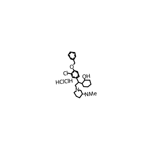 CN[C@H]1CCCN(CC(c2ccc(OCc3ccccc3)c(Cl)c2)C2CCCCC2O)C1.Cl.Cl